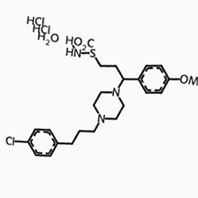 COc1ccc(C(CCSNC(=O)O)N2CCN(CCCc3ccc(Cl)cc3)CC2)cc1.Cl.Cl.O